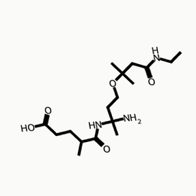 CCNC(=O)CC(C)(C)OCCC(C)(N)NC(=O)C(C)CCC(=O)O